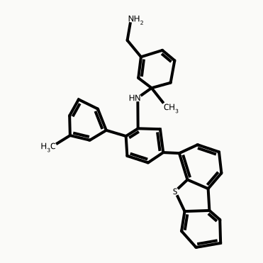 Cc1cccc(-c2ccc(-c3cccc4c3sc3ccccc34)cc2NC2(C)C=C(CN)C=CC2)c1